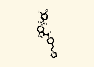 O=C(c1noc2c1CN(S(=O)(=O)c1ccc(Cl)c(Cl)c1)CC2)N1CCC(CCN2CCCC2)CC1